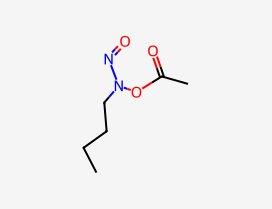 CCCCN(N=O)OC(C)=O